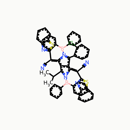 CC(C)c1c2/c(=C(\C#N)c3nc4ccccc4s3)n(B(c3ccccc3)c3ccccc3)c(-c3ccccc3Cl)c2/c(=C(\C#N)c2nc3ccccc3s2)n1B(c1ccccc1)c1ccccc1